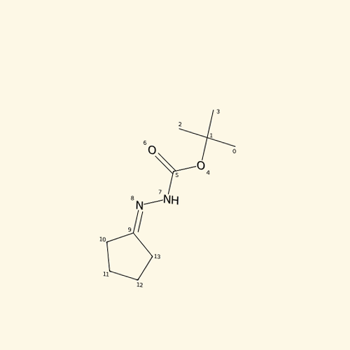 CC(C)(C)OC(=O)NN=C1CCCC1